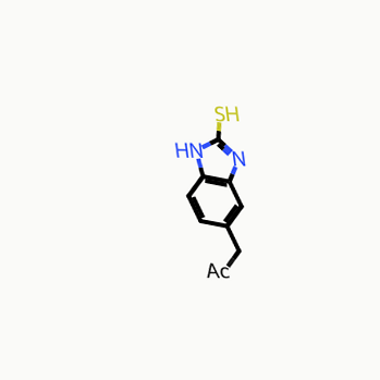 CC(=O)Cc1ccc2[nH]c(S)nc2c1